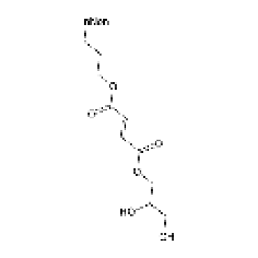 CCCCCCCCCCCCOC(=O)/C=C/C(=O)OCC(O)CO